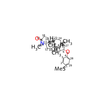 CSc1ccc(OC2C[C@H]3[C@@H]4C(C)CC5N(C)C(=O)CC[C@]5(C)[C@@H]4CC[C@]3(C)C2)cc1